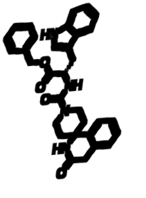 O=C1Cc2ccccc2C2(CCN(C(=O)N[C@@H](Cc3c[nH]c4ccccc34)C(=O)OCc3ccccc3)CC2)N1